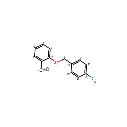 O=Cc1c[c]ccc1OCc1ccc(Cl)cc1